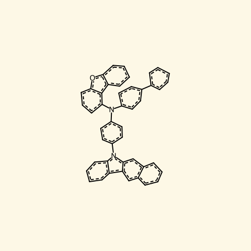 c1ccc(-c2ccc(N(c3ccc(-n4c5ccccc5c5cc6ccccc6cc54)cc3)c3cccc4oc5ccccc5c34)cc2)cc1